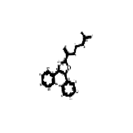 C=C(CCC=C(C)C)C1OC(c2ccccc2)C(c2ccccc2)O1